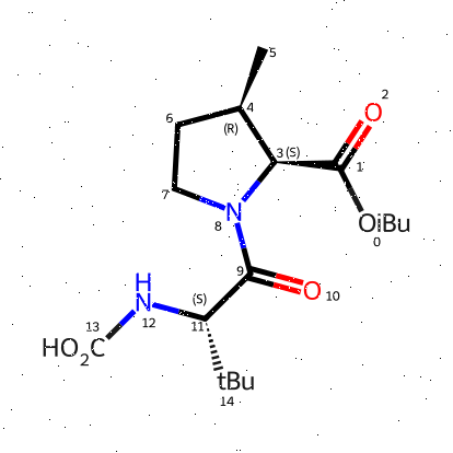 CC(C)COC(=O)[C@@H]1[C@H](C)CCN1C(=O)[C@@H](NC(=O)O)C(C)(C)C